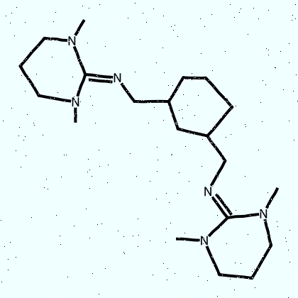 CN1CCCN(C)C1=NCC1CCCC(CN=C2N(C)CCCN2C)C1